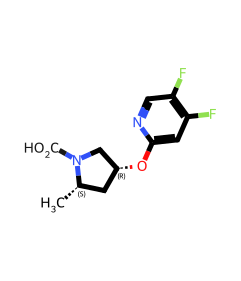 C[C@H]1C[C@@H](Oc2cc(F)c(F)cn2)CN1C(=O)O